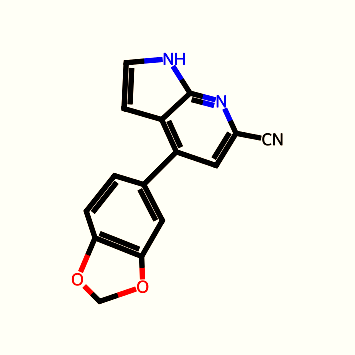 N#Cc1cc(-c2ccc3c(c2)OCO3)c2cc[nH]c2n1